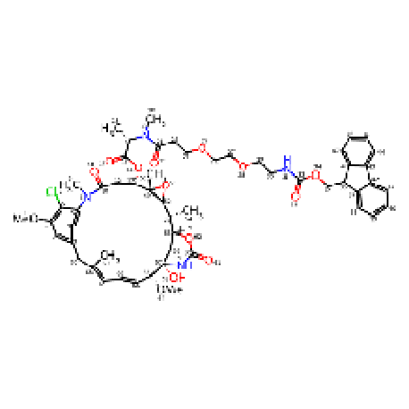 COc1cc2cc(c1Cl)N(C)C(=O)C[C@H](OC(=O)[C@H](C)N(C)C(=O)CCOCCOCCNC(=O)OCC1c3ccccc3-c3ccccc31)[C@]1(C)OC1[C@H](C)[C@@H]1C[C@@](O)(NC(=O)O1)[C@H](OC)/C=C/C=C(\C)C2